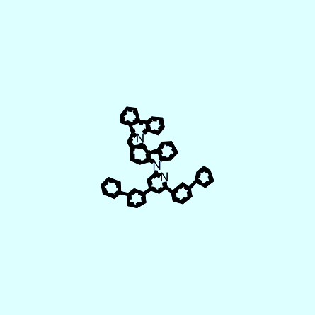 c1ccc(-c2cccc(-c3cc(-c4cccc(-c5ccccc5)c4)nc(-n4c5ccccc5c5c4ccc4cc6c7ccccc7c7ccccc7n6c45)c3)c2)cc1